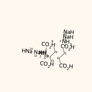 C=C.N.N.O=C(O)CCC(=O)O.O=C(O)CCC(=O)O.[NaH].[NaH].[NaH].[NaH]